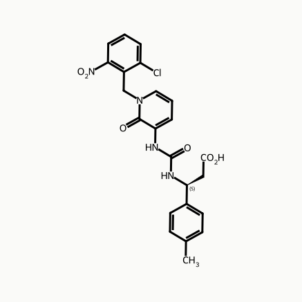 Cc1ccc([C@H](CC(=O)O)NC(=O)Nc2cccn(Cc3c(Cl)cccc3[N+](=O)[O-])c2=O)cc1